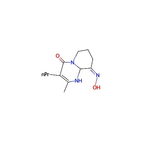 CCCC1=C(C)NC2/C(=N\O)CCCN2C1=O